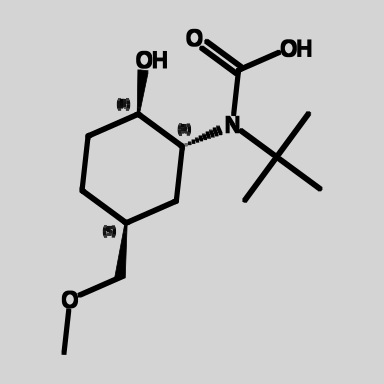 COC[C@H]1CC[C@@H](O)[C@H](N(C(=O)O)C(C)(C)C)C1